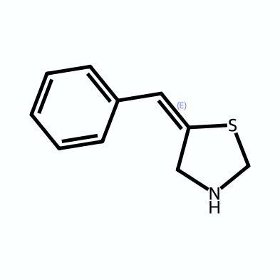 C(=C1/CNCS1)/c1ccccc1